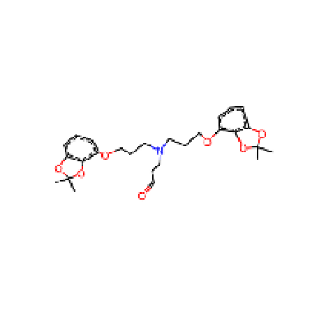 CC1(C)Oc2cccc(OCCCN(CCC=O)CCCOc3cccc4c3OC(C)(C)O4)c2O1